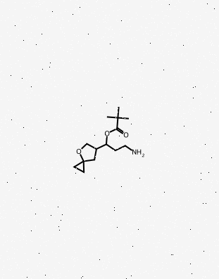 CC(C)(C)C(=O)OC(CCN)C1COC2(CC2)C1